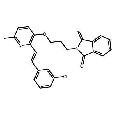 Cc1ccc(OCCCN2C(=O)c3ccccc3C2=O)c(/C=C/c2cccc(Cl)c2)n1